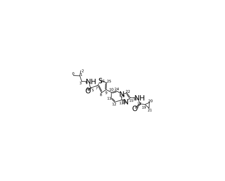 CC(C)CNC(=O)c1cc(-c2ccc3nc(NC(=O)C4CC4)cn3c2)cs1